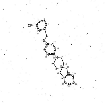 Clc1cccc(CSc2cnc(N3CCC4(CC3)Cc3ccccc3C4)cn2)n1